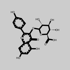 O=C(O)[C@H]1OC(Oc2c(-c3ccc(O)cc3)oc3cc(O)cc(O)c3c2=O)[C@H](O)[C@@H](O)[C@@H]1O